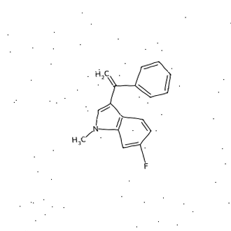 C=C(c1ccccc1)c1cn(C)c2cc(F)ccc12